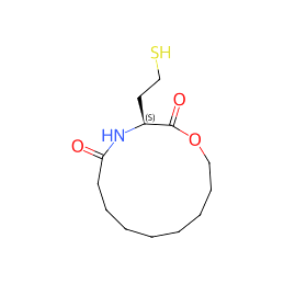 O=C1CCCCCCCCOC(=O)[C@H](CCS)N1